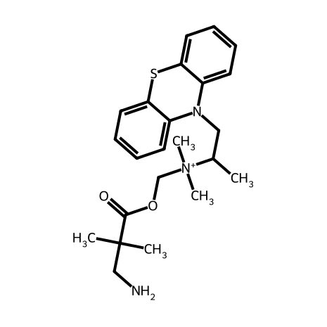 CC(CN1c2ccccc2Sc2ccccc21)[N+](C)(C)COC(=O)C(C)(C)CN